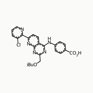 CC(C)COCc1nc(Nc2ccc(C(=O)O)cc2)c2ccc(-c3ncccc3Cl)nc2n1